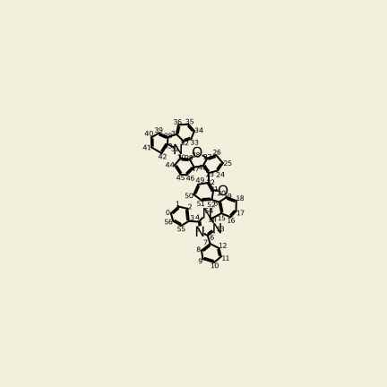 c1ccc(-c2nc(-c3ccccc3)nc(-c3cccc4oc5c(-c6cccc7oc8c(-n9c%10ccccc%10c%10ccccc%109)cccc8c67)cccc5c34)n2)cc1